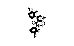 COc1cccc([C@H]2CN(C)C(=O)[C@@H]2C(=O)Nc2cccc(F)c2F)c1F